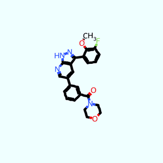 COc1c(F)cccc1-c1n[nH]c2ncc(-c3cccc(C(=O)N4CCOCC4)c3)cc12